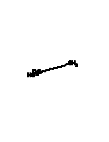 CCCCCCCCCCCCCCCCSSC(=O)O